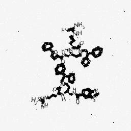 N=C(N)NCCC[C@@H]1N[C@H](CNC(=O)c2ccc(-c3ccccc3)o2)CCN(CC(c2ccccc2)c2ccccc2)C1=O.N=C(N)NCCC[C@@H]1N[C@H](CNC(=O)c2ccc3ncsc3c2)CCN(CC(c2ccccc2)c2ccccc2)C1=O